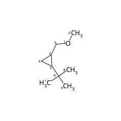 COCC1CC1C(C)(C)C